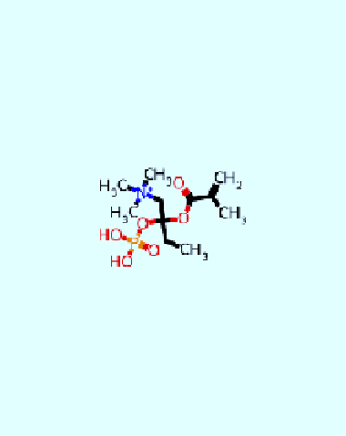 C=C(C)C(=O)OC(CC)(C[N+](C)(C)C)OP(=O)(O)O